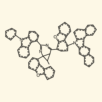 CC1C2C(c3ccc(-n4c5cc6ccccc6cc5c5c6ccccc6ccc54)c4c3oc3ccccc34)=NC(c3cccc4c3c3ccccc3n4-c3ccccc3)=NC12c1cccc2oc3ccccc3c12